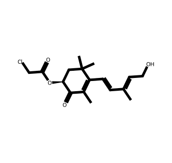 CC(C=CC1=C(C)C(=O)[C@@H](OC(=O)CCl)CC1(C)C)=CCO